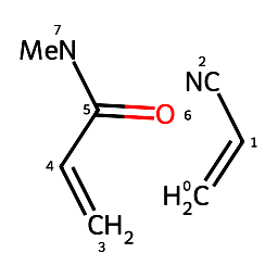 C=CC#N.C=CC(=O)NC